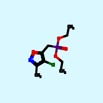 CCOP(=O)(Cc1onc(C)c1Cl)OCC